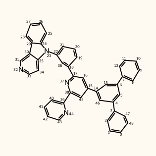 c1ccc(-c2cc(-c3ccccc3)cc(-c3cc(-c4cccc(-n5c6ccccc6c6cnccc65)c4)nc(-c4ccccn4)c3)c2)cc1